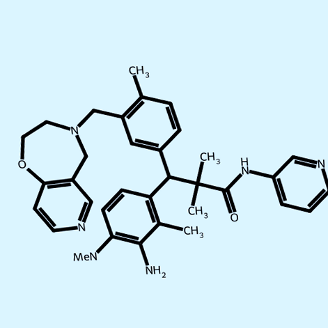 CNc1ccc(C(c2ccc(C)c(CN3CCOc4ccncc4C3)c2)C(C)(C)C(=O)Nc2cccnc2)c(C)c1N